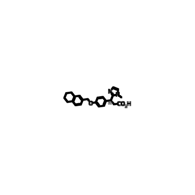 Cn1ccnc1[C@@H](CC(=O)O)c1ccc(OCc2ccc3c(c2)CCCC3)cc1